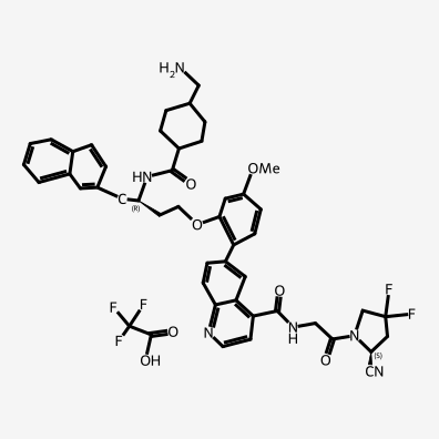 COc1ccc(-c2ccc3nccc(C(=O)NCC(=O)N4CC(F)(F)C[C@H]4C#N)c3c2)c(OCC[C@@H](Cc2ccc3ccccc3c2)NC(=O)C2CCC(CN)CC2)c1.O=C(O)C(F)(F)F